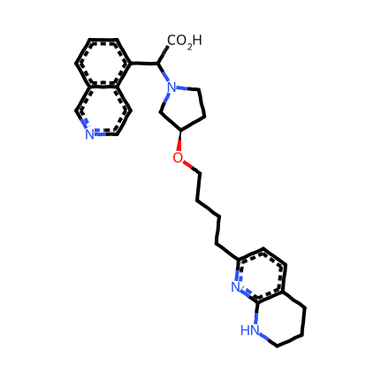 O=C(O)C(c1cccc2cnccc12)N1CC[C@@H](OCCCCc2ccc3c(n2)NCCC3)C1